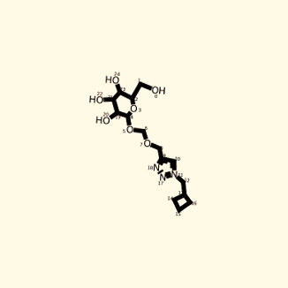 OCC1OC(OCOCc2cn(CC3CCC3)nn2)C(O)C(O)C1O